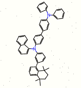 CC1(C)CCC(C)(C)c2c(-c3cccc(N(c4ccc(-c5ccc(N(c6ccccc6)c6ccccc6)cc5)cc4)c4cccc5ccccc45)c3)cccc21